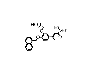 CCN(CC)C(=O)C=C(C)c1ccc(OCc2cccc3ccccc23)c(OCC(=O)O)c1